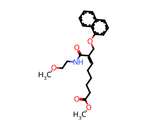 COCCNC(=O)C(=CCCCCC(=O)OC)COc1cccc2ccccc12